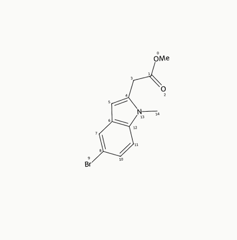 COC(=O)Cc1cc2cc(Br)ccc2n1C